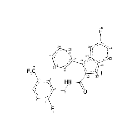 O=C(NCc1cc(C(F)(F)F)ccc1F)c1[nH]c2ccc(F)cc2c1-c1ccccc1